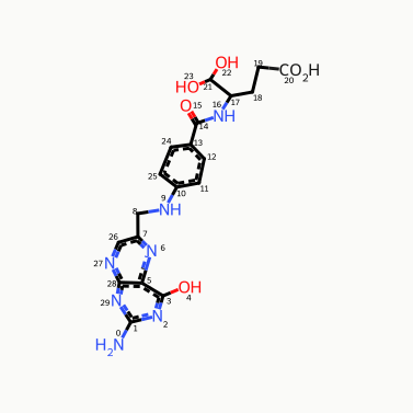 Nc1nc(O)c2nc(CNc3ccc(C(=O)NC(CCC(=O)O)C(O)O)cc3)cnc2n1